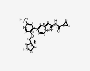 Cc1cc(-c2ccn3nc(NC(=O)C4CC4)cc3c2)c(OC[C@@]2(F)CCNC2)cn1